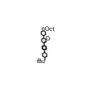 CCCCCCCCC1CCC(C2CCC(c3ccc(C4CCC(CC(C)CC)CC4)cc3)=CC2=O)CC1